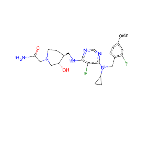 COc1ccc(CN(c2ncnc(NC[C@@H]3CCN(CC(N)=O)C[C@H]3O)c2F)C2CC2)c(F)c1